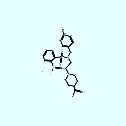 O=C([O-])C1CCN(CCN(Cc2ccc(Br)cc2)S(=O)(=O)c2ccccc2[N+](=O)[O-])CC1.[Li+]